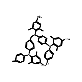 CCCCc1cc(C)c(N(Cc2ccc(N(c3ccc(C)cc3)c3c(C)cc(CCCC)cc3C)cc2)c2ccc(N(c3ccc(CC)cc3)c3c(C)cc(CCCC)cc3C)cc2)c(C)c1